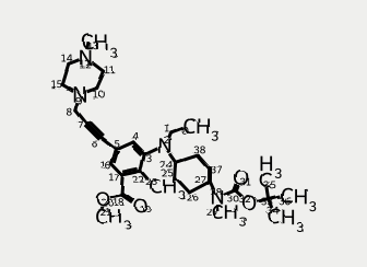 CCN(c1cc(C#CCN2CCN(C)CC2)cc(C(=O)OC)c1C)C1CCC(N(C)C(=O)OC(C)(C)C)CC1